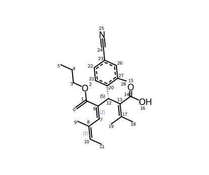 C=C(OCCC)/C(=C\C(C)=C/C)[C@@H](C(C(=O)O)=C(C)C)c1ccc(C#N)cc1C